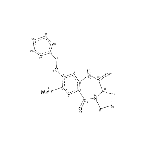 COc1cc2c(cc1OCc1ccccc1)NC(=O)C1CCCN1C2=O